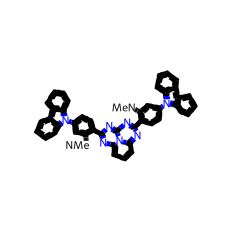 CNc1cc(-n2c3ccccc3c3ccccc32)ccc1C1=NC2=CC=CC3=NC(c4ccc(-n5c6ccccc6c6ccccc65)cc4NC)=NC(=N1)N23